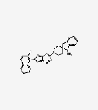 N[C@@H]1c2ccccc2CC12CCN(c1ncc3cn(-c4c(Cl)ccc5cccnc45)nc3n1)CC2